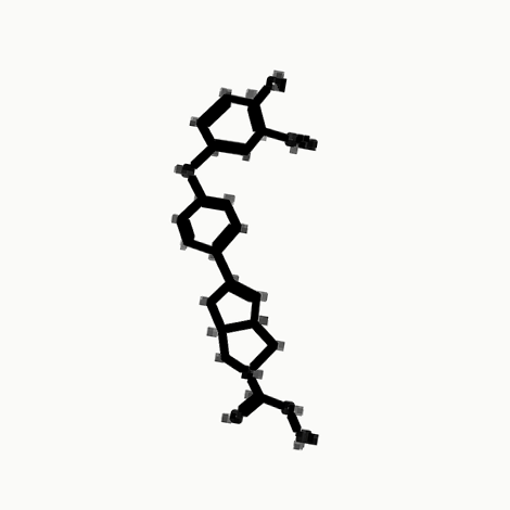 COc1cc(Oc2ccc(C3=CC4CN(C(=O)OC(C)(C)C)CC4C3)cc2)ccc1C#N